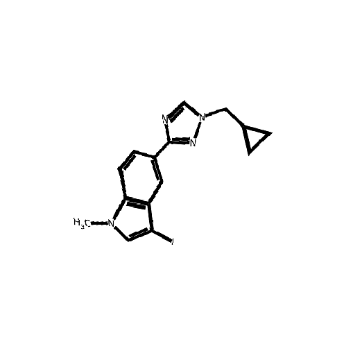 Cn1cc(I)c2cc(-c3ncn(CC4CC4)n3)ccc21